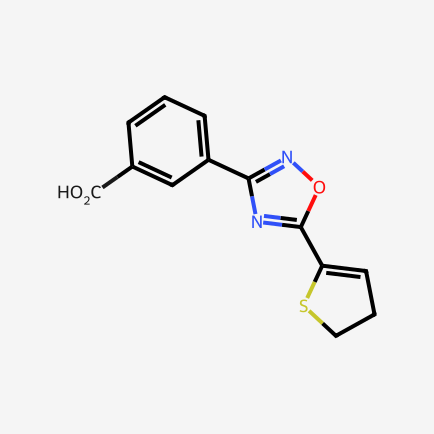 O=C(O)c1cccc(-c2noc(C3=CCCS3)n2)c1